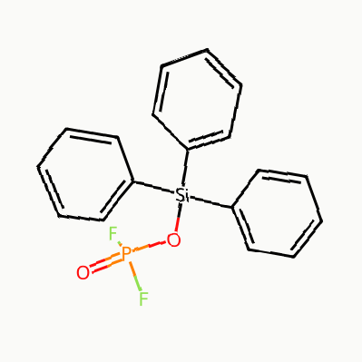 O=P(F)(F)O[Si](c1ccccc1)(c1ccccc1)c1ccccc1